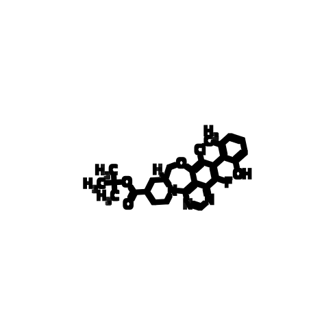 Cc1cccc(O)c1-c1c(Cl)c2c3c(ncnc3c1F)N1CCC(C(=O)OC(C)(C)C)C[C@H]1CO2